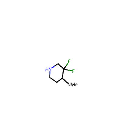 CNC1CCNCC1(F)F